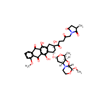 COc1cccc2c1C(=O)c1c(O)c3c(c(O)c1C2=O)C[C@@](O)(C(=O)CCC(=O)CN1C(=O)CC(C)C1=O)C[C@@H]3O[C@H]1C[C@H]2[C@H](O[C@@H]3[C@@H](OC)OCCN32)[C@H](C)O1